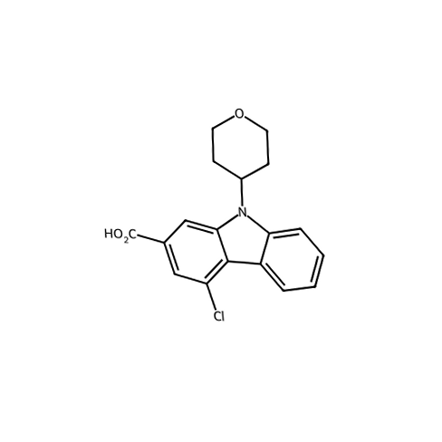 O=C(O)c1cc(Cl)c2c3ccccc3n(C3CCOCC3)c2c1